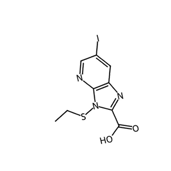 CCSn1c(C(=O)O)nc2cc(I)cnc21